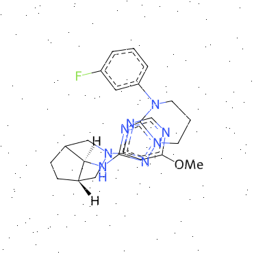 COc1cc(N2CC3CC[C@@H](C2)[C@@H]3Nc2nc3n(n2)CCCN3c2cccc(F)c2)ncn1